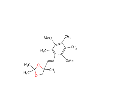 COc1c(C)c(C)c(OC)c(C=CC2(C)COC(C)(C)O2)c1C